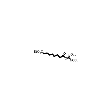 CCCCCCCCC(CCCCCCCC)OC(=O)CCCCCCCC(=O)OCC